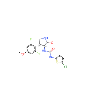 COc1cc(F)c([C@@H]2CNC(=O)[C@H]2NC(=O)Nc2ccc(Cl)s2)c(F)c1